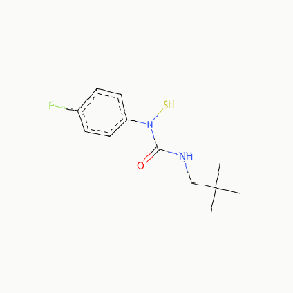 CC(C)(C)CNC(=O)N(S)c1ccc(F)cc1